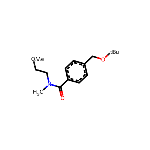 COCCN(C)C(=O)c1ccc(COC(C)(C)C)cc1